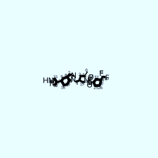 C[C@@H]1CC(Cn2ncc3cc(-c4cn[nH]c4)ccc32)CN1S(=O)(=O)c1cccc(C(F)F)c1